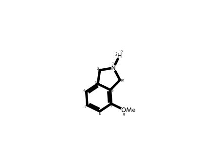 [2H]N1Cc2cccc(OC)c2C1